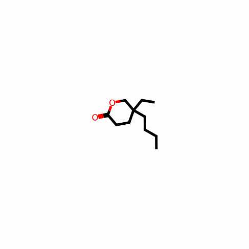 CCCCC1(CC)CCC(=O)OC1